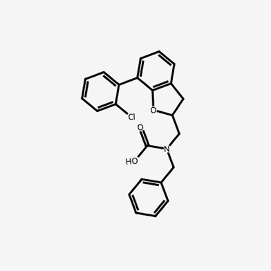 O=C(O)N(Cc1ccccc1)CC1Cc2cccc(-c3ccccc3Cl)c2O1